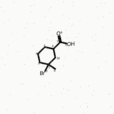 CC1(Br)CCCC(C(=O)O)C1